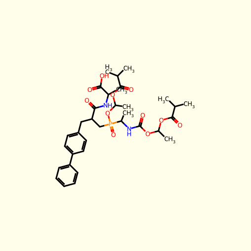 CC(OC(=O)NC(C)P(=O)(CC(Cc1ccc(-c2ccccc2)cc1)C(=O)NC(C)C(=O)O)OC(C)OC(=O)C(C)C)OC(=O)C(C)C